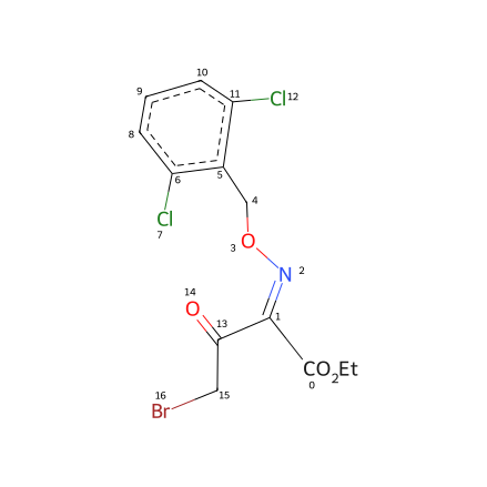 CCOC(=O)C(=NOCc1c(Cl)cccc1Cl)C(=O)CBr